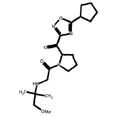 COCC(C)(C)NCC(=O)N1CCCC1C(=O)c1noc(C2CCCC2)n1